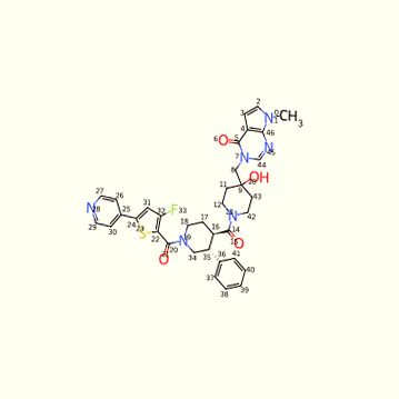 Cn1ccc2c(=O)n(CC3(O)CCN(C(=O)[C@@H]4CCN(C(=O)c5sc(-c6ccncc6)cc5F)C[C@H]4c4ccccc4)CC3)cnc21